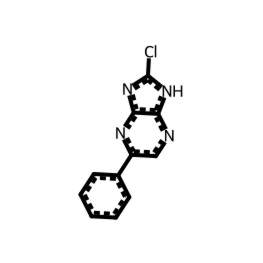 Clc1nc2nc(-c3ccccc3)cnc2[nH]1